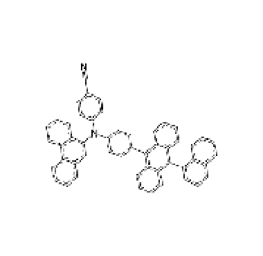 N#Cc1ccc(N(c2ccc(-c3c4ccccc4c(-c4cccc5ccccc45)c4ccccc34)cc2)c2cc3ccccc3c3ccccc23)cc1